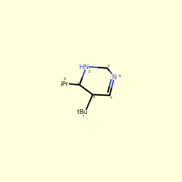 CC(C)C1NCN=CC1C(C)(C)C